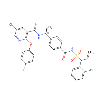 C=CC(c1ccccc1Cl)S(=O)(=O)NC(=O)c1ccc([C@H](C)NC(=O)c2cc(Cl)cnc2Oc2ccc(F)cc2)cc1